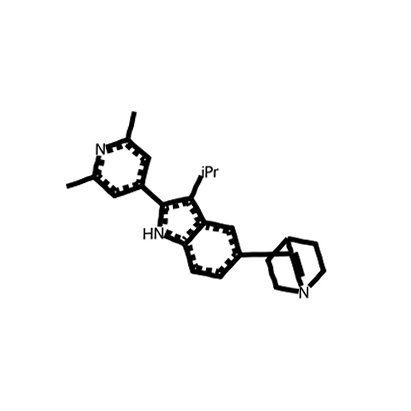 Cc1cc(-c2[nH]c3ccc(C4=CN5CCC4CC5)cc3c2C(C)C)cc(C)n1